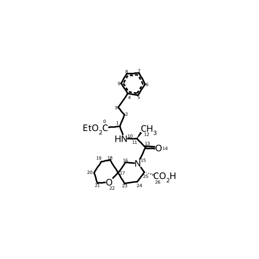 CCOC(=O)C(CCc1ccccc1)N[C@@H](C)C(=O)N1CC2(CCCCO2)CC[C@H]1C(=O)O